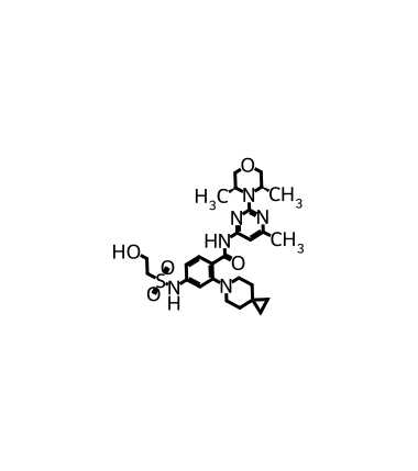 Cc1cc(NC(=O)c2ccc(NS(=O)(=O)CCO)cc2N2CCC3(CC2)CC3)nc(N2[C@H](C)COC[C@@H]2C)n1